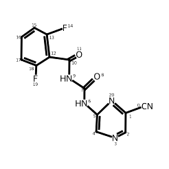 N#Cc1cncc(NC(=O)NC(=O)c2c(F)cccc2F)n1